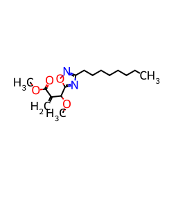 C=C(C(=O)OC)C(OC)c1nc(CCCCCCCC)no1